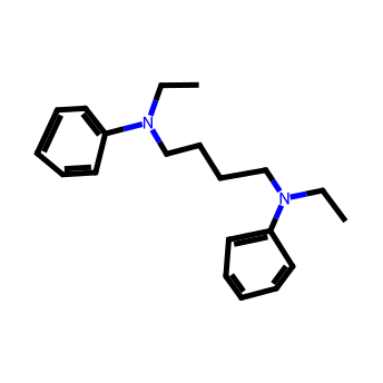 CCN(CCCCN(CC)c1ccccc1)c1ccccc1